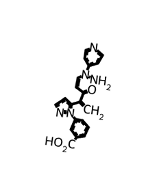 C=C(C(=O)/C=C\N(N)c1ccncc1)c1ccnn1-c1cccc(C(=O)O)c1